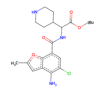 Cc1cc2c(N)c(Cl)cc(C(=O)NC(C(=O)OC(C)(C)C)C3CCNCC3)c2o1